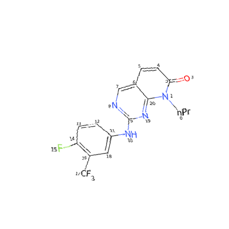 CCCn1c(=O)ccc2cnc(Nc3ccc(F)c(C(F)(F)F)c3)nc21